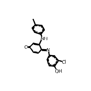 Cc1ccc(NC2=CC(=O)C=CC2=Nc2ccc(O)c(Cl)c2)cc1